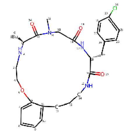 CCC(C)[C@@H]1NCCOc2ccccc2CCCNC(=O)[C@@H](Cc2ccc(Cl)cc2)NC(=O)CN(C)C1=O